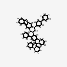 C1=CCCC(C2(c3ccccc3)c3ccccc3-c3cc(C(CCc4ccc(-c5ccccc5)cc4)Cc4ccc5sc6ccccc6c5c4)c(-c4ccccc4)cc32)=C1